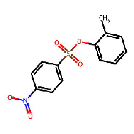 Cc1ccccc1OS(=O)(=O)c1ccc([N+](=O)[O-])cc1